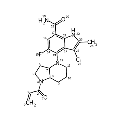 C=CC(=O)N1CCC2C1CCCN2c1c(F)cc(C(N)=O)c2[nH]c(C)c(Cl)c12